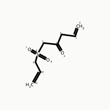 C=CCC(=O)[CH]S(=O)(=O)CC=C